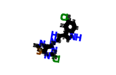 Clc1ccc2[nH]cc(CCNc3nc(Cl)nc4scnc34)c2c1